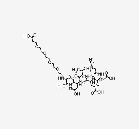 CC(C)[C@H](NC(=O)C(CCC(=O)O)NC(=O)[C@H](CC(=O)O)NC(=O)CN=[N+]=[N-])C(=O)NC(CC(=O)O)C(=O)N[C@H](C)C(=O)NCCOCCOCCOCCOCCC(=O)O